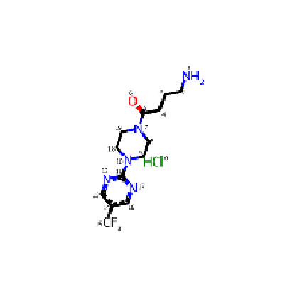 Cl.NCCCC(=O)N1CCN(c2ncc(C(F)(F)F)cn2)CC1